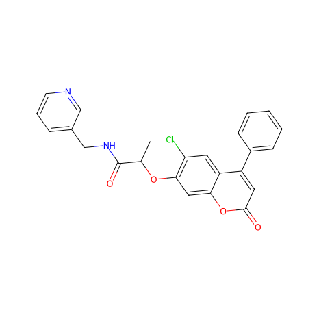 CC(Oc1cc2oc(=O)cc(-c3ccccc3)c2cc1Cl)C(=O)NCc1cccnc1